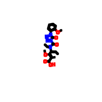 C/C=C(\C(OC)=C(/C)C(=O)O)N(CC)C(=O)n1nnn(-c2ccccc2OC)c1=O